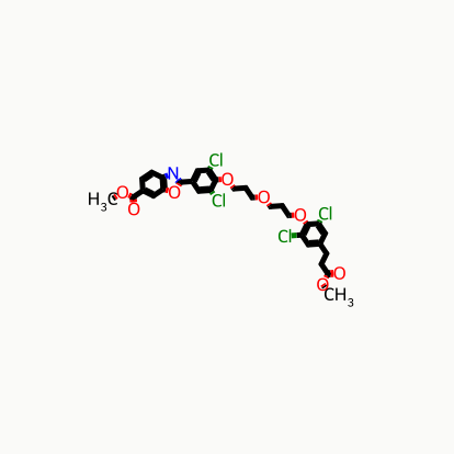 COC(=O)CCc1cc(Cl)c(OCCCOCCCOc2c(Cl)cc(-c3nc4ccc(C(=O)OC)cc4o3)cc2Cl)c(Cl)c1